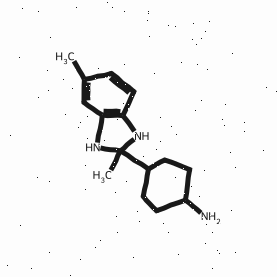 Cc1ccc2c(c1)NC(C)(C1CCC(N)CC1)N2